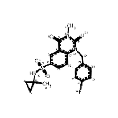 Cn1c(=O)c2cc(S(=O)(=O)NC3(C)CC3)ccc2n(Cc2ccc(F)cc2)c1=O